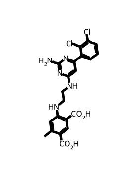 Cc1cc(NCCNc2cc(-c3cccc(Cl)c3Cl)nc(N)n2)c(C(=O)O)cc1C(=O)O